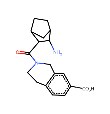 NC1C2CCC(C2)C1C(=O)N1CCc2ccc(C(=O)O)cc2C1